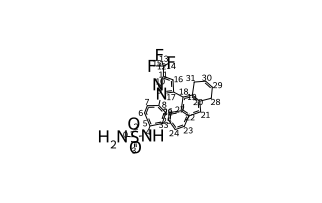 NS(=O)(=O)Nc1ccc(-n2nc(C(F)(F)F)cc2-c2c3c(cc4ccccc24)CC=CC3)cc1